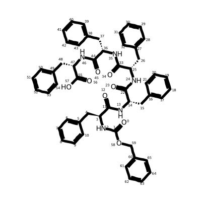 O=C(N[C@@H](Cc1ccccc1)C(=O)N[C@@H](Cc1ccccc1)C(=O)N[C@@H](Cc1ccccc1)C(=O)N[C@@H](Cc1ccccc1)C(=O)N[C@@H](Cc1ccccc1)C(=O)O)OCc1ccccc1